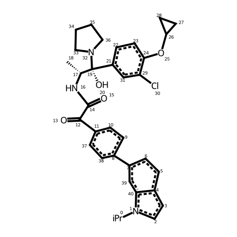 CC(C)n1ccc2ccc(-c3ccc(C(=O)C(=O)N[C@H](C)[C@](O)(c4ccc(OC5CC5)c(Cl)c4)N4CCCC4)cc3)cc21